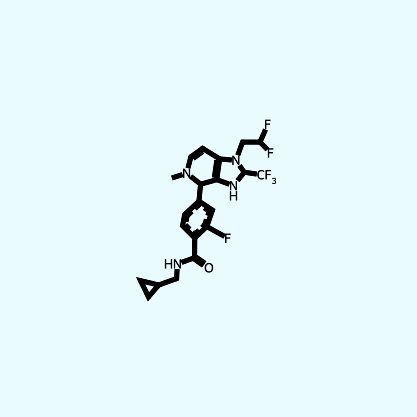 CN1C=CC2=C(NC(C(F)(F)F)N2CC(F)F)C1c1ccc(C(=O)NCC2CC2)c(F)c1